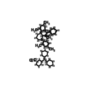 C1CCC(P(C2CCCCC2)C2CCCCC2)CC1.Cc1cc(C)c(N2CCCN(c3c(C)cc(C)cc3C)[C]2=[Ru+2]=[CH]c2ccccc2)c(C)c1.[Cl-].[Cl-]